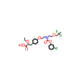 CCOC(Cc1ccc(OCCN(CCOCC(C)(F)F)C(=O)Oc2cccc(F)c2)cc1)C(=O)O